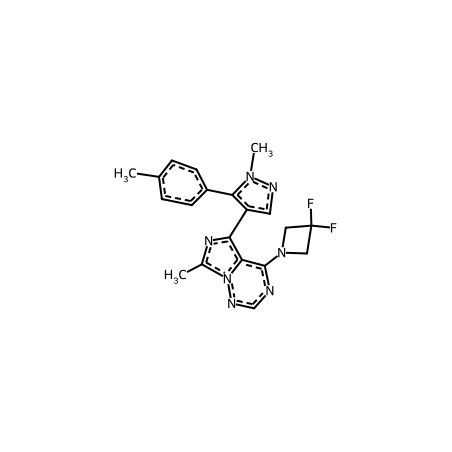 Cc1ccc(-c2c(-c3nc(C)n4ncnc(N5CC(F)(F)C5)c34)cnn2C)cc1